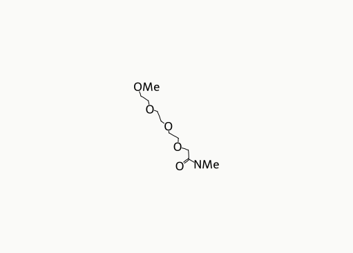 CNC(=O)COCCOCCOCCOC